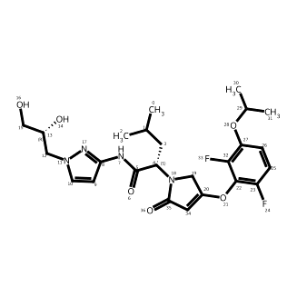 CC(C)C[C@@H](C(=O)Nc1ccn(C[C@@H](O)CO)n1)N1CC(Oc2c(F)ccc(OC(C)C)c2F)=CC1=O